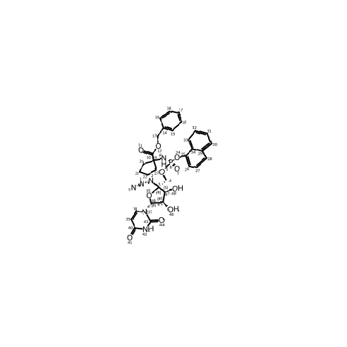 [N-]=[N+]=N[C@]1(COP(=O)(NC2(C(=O)OCc3ccccc3)CCCC2)Oc2cccc3ccccc23)O[C@@H](n2ccc(=O)[nH]c2=O)[C@H](O)[C@@H]1O